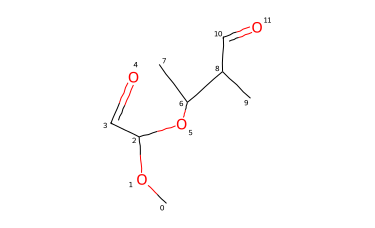 COC(C=O)OC(C)C(C)C=O